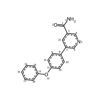 NC(=O)c1cncc(-c2ccc(Oc3ccccc3)cc2)c1